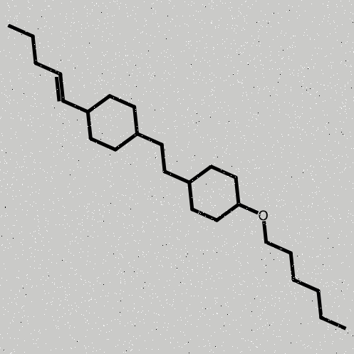 CCCC=CC1CCC(CCC2CCC(OCCCCCC)CC2)CC1